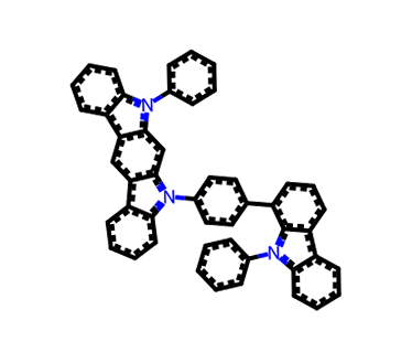 c1ccc(-n2c3ccccc3c3cc4c5ccccc5n(-c5ccc(-c6cccc7c8ccccc8n(-c8ccccc8)c67)cc5)c4cc32)cc1